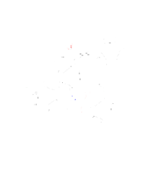 O=S(=O)(c1cc(Cl)ccc1Cl)N(Cc1ccc(F)cc1)c1ccc(C(O)(C#Cc2ccccc2)C(F)(F)F)cc1